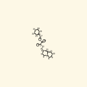 O=C(CCc1ccc2ccccc2c1)C(=O)OCc1ccccc1